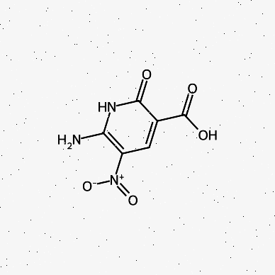 Nc1[nH]c(=O)c(C(=O)O)cc1[N+](=O)[O-]